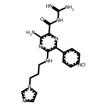 Cl.N=C(N)NC(=O)c1nc(-c2ccccc2)c(NCCCn2ccnc2)nc1N